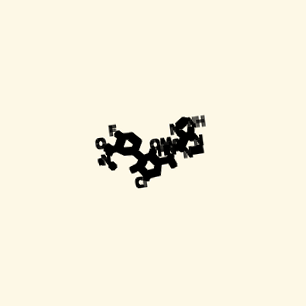 COc1c(C(C)Nc2ncnc3[nH]cnc23)cc(Cl)c(C)c1-c1ccc(F)c(C(=O)N(C)C)c1